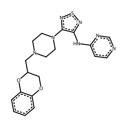 c1ccc2c(c1)OCC(CN1CCN(c3nsnc3Nc3ccncn3)CC1)O2